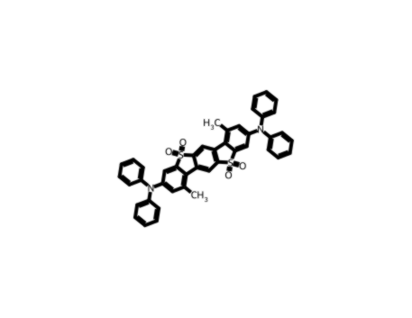 Cc1cc(N(c2ccccc2)c2ccccc2)cc2c1-c1cc3c(cc1S2(=O)=O)-c1c(C)cc(N(c2ccccc2)c2ccccc2)cc1S3(=O)=O